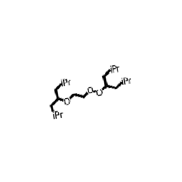 CC(C)CC(CC(C)C)OCCOOC(CC(C)C)CC(C)C